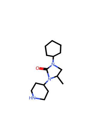 CC1CN(C2CCCCC2)C(=O)N1C1CCNCC1